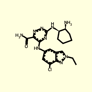 CCn1cc2cc(Nc3nc(N[C@@H]4CCCC[C@@H]4N)nnc3C(N)=O)cc(Cl)c2n1